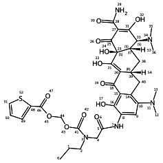 CCCN(CC(=O)Nc1cc(N(C)C)c2c(c1O)C(=O)C1=C(O)[C@]3(O)C(=O)C(C(N)=O)=C(O)[C@@H](N(C)C)[C@@H]3C[C@@H]1C2)C(=O)OCOC(=O)c1cccs1